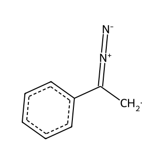 [CH2]C(=[N+]=[N-])c1ccccc1